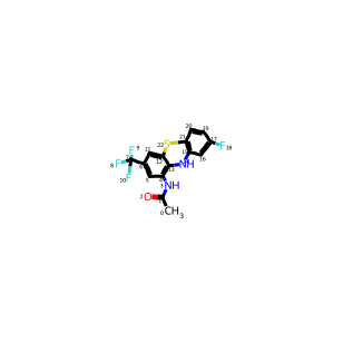 CC(=O)Nc1cc(C(F)(F)F)cc2c1Nc1cc(F)ccc1S2